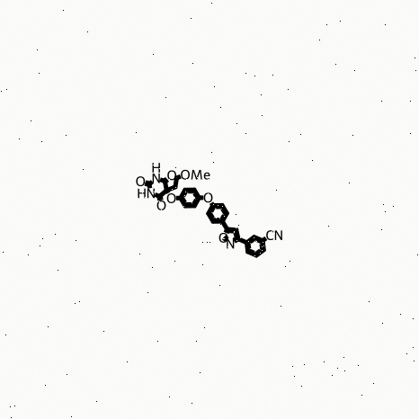 COCCC1(Oc2ccc(Oc3ccc(-c4cc(-c5cccc(C#N)c5)no4)cc3)cc2)C(=O)NC(=O)NC1=O